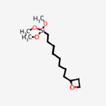 CO[Si](CCCCCCCCC1CCO1)(OC)OC